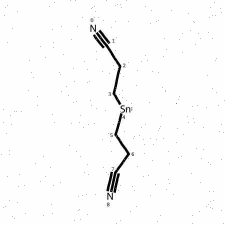 N#CC[CH2][Sn][CH2]CC#N